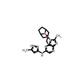 Cc1cc(Nc2cnc3nc(C)n(C4CC5CCC(C4)N5CCC#N)c3n2)n[nH]1